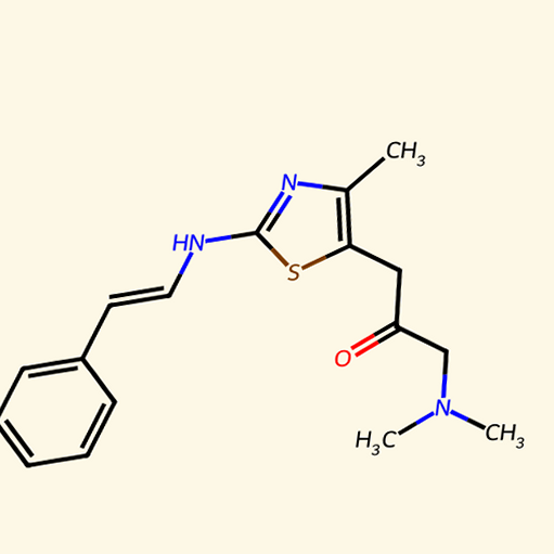 Cc1nc(NC=Cc2ccccc2)sc1CC(=O)CN(C)C